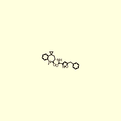 CN1C(=O)[C@@H](NC(=O)c2cc(Cc3ccccc3)on2)CC2(CC2)c2ccccc21